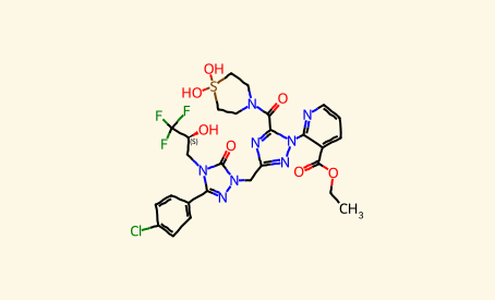 CCOC(=O)c1cccnc1-n1nc(Cn2nc(-c3ccc(Cl)cc3)n(C[C@H](O)C(F)(F)F)c2=O)nc1C(=O)N1CCS(O)(O)CC1